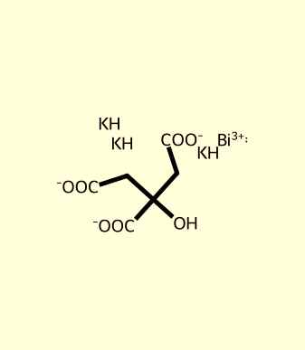 O=C([O-])CC(O)(CC(=O)[O-])C(=O)[O-].[Bi+3].[KH].[KH].[KH]